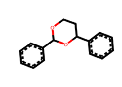 c1ccc(C2CCOC(c3ccccc3)O2)cc1